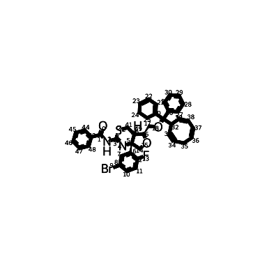 O=C(NC1=N[C@@]2(c3cc(Br)ccc3F)CO[C@H](COC(C3=CC=CCC3)(c3ccccc3)C3C#CC/C=C\C=C/3)[C@H]2CS1)c1ccccc1